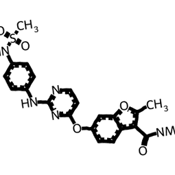 CNC(=O)c1c(C)oc2cc(Oc3ccnc(Nc4ccc(NS(C)(=O)=O)cc4)n3)ccc12